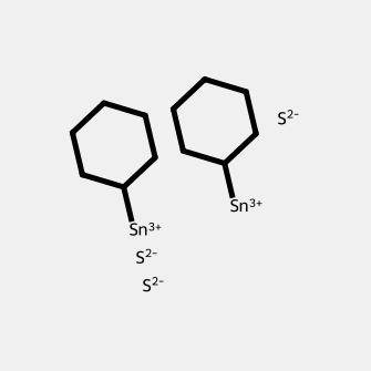 [S-2].[S-2].[S-2].[Sn+3][CH]1CCCCC1.[Sn+3][CH]1CCCCC1